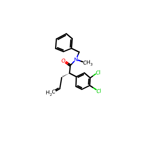 C=CC[C@H](C(=O)N(C)Cc1ccccc1)c1ccc(Cl)c(Cl)c1